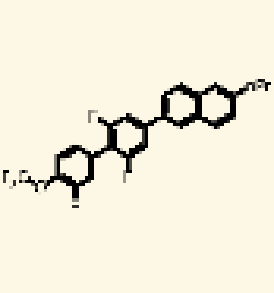 CCCc1ccc2cc(-c3cc(F)c(-c4ccc(OC(F)(F)F)c(F)c4)c(F)c3)ccc2c1